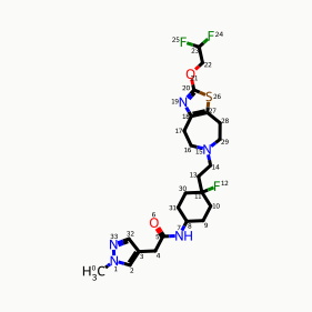 Cn1cc(CC(=O)NC2CCC(F)(CCN3CCc4nc(OCC(F)F)sc4CC3)CC2)cn1